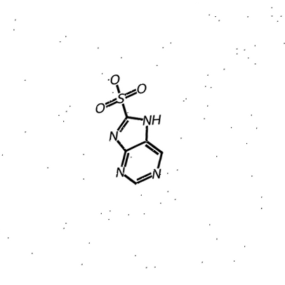 [O]S(=O)(=O)c1nc2ncncc2[nH]1